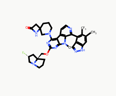 Cc1cc2[nH]ncc2c(-c2nccc3c4c(N5CCCC6(CC(=O)N6)C5)nc(OC[C@@]56CCCN5C[C@H](F)C6)nc4n(C)c23)c1C(F)(F)F